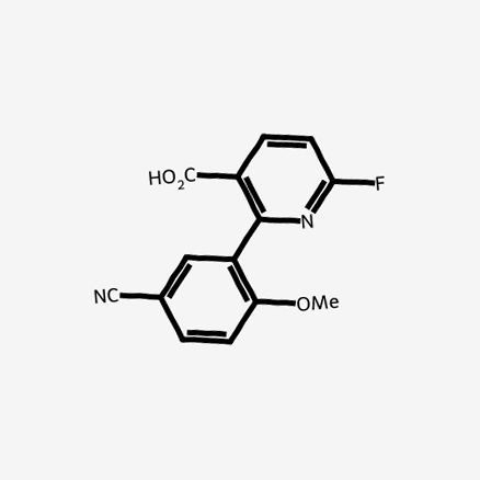 COc1ccc(C#N)cc1-c1nc(F)ccc1C(=O)O